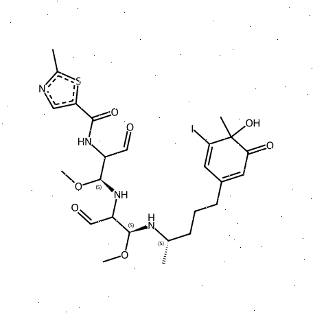 CO[C@H](NC(C=O)[C@@H](N[C@@H](C)CCCC1=CC(=O)C(C)(O)C(I)=C1)OC)C(C=O)NC(=O)c1cnc(C)s1